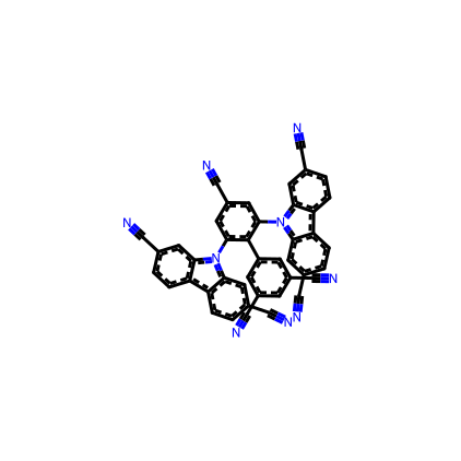 N#Cc1cc(C#N)cc(-c2c(-n3c4cc(C#N)ccc4c4ccc(C#N)cc43)cc(C#N)cc2-n2c3cc(C#N)ccc3c3ccc(C#N)cc32)c1